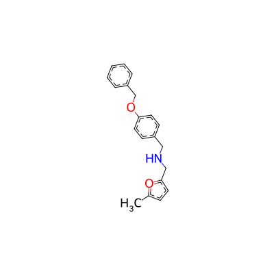 Cc1ccc(CNCc2ccc(OCc3ccccc3)cc2)o1